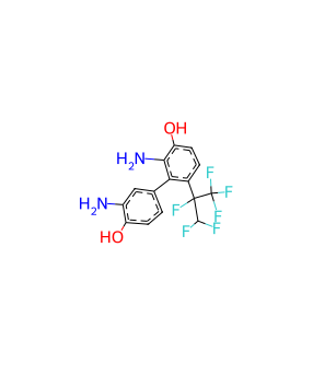 Nc1cc(-c2c(C(F)(C(F)F)C(F)(F)F)ccc(O)c2N)ccc1O